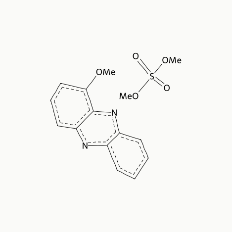 COS(=O)(=O)OC.COc1cccc2nc3ccccc3nc12